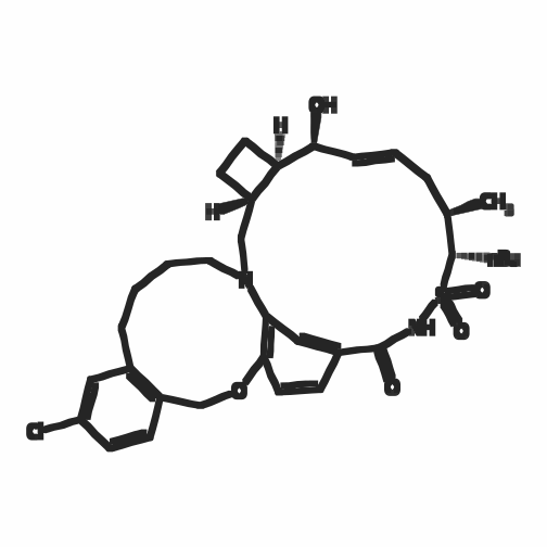 CCCC[C@H]1[C@H](C)C/C=C/[C@H](O)[C@@H]2CC[C@H]2CN2CCCCc3cc(Cl)ccc3COc3ccc(cc32)C(=O)NS1(=O)=O